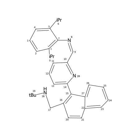 CC(C)c1cccc(C(C)C)c1/N=C\c1cccc(-c2c(CNC(C)(C)C)ccc3ccccc23)n1